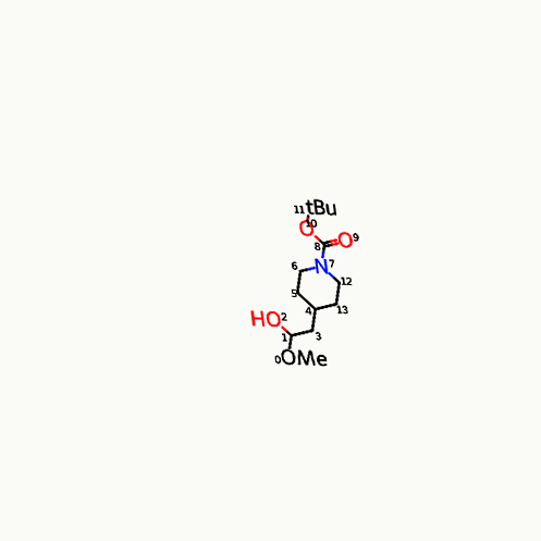 COC(O)CC1CCN(C(=O)OC(C)(C)C)CC1